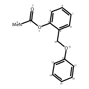 CNC(=O)Oc1ccccc1COc1ccccc1